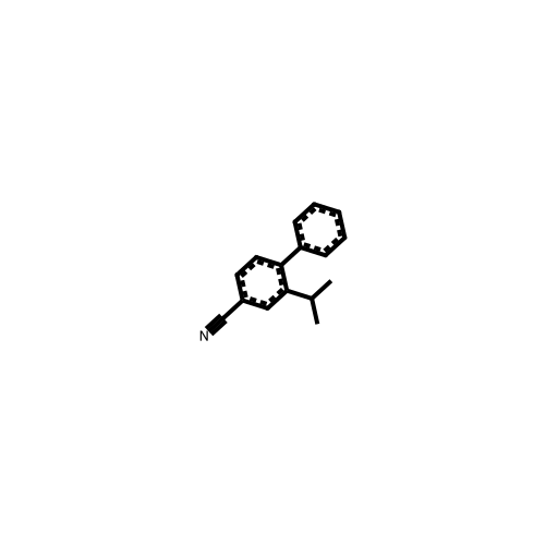 CC(C)c1cc(C#N)ccc1-c1ccccc1